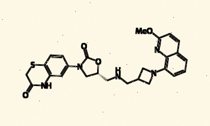 COc1ccc2cccc(N3CC(CNC[C@@H]4CN(c5ccc6c(c5)NC(=O)CS6)C(=O)O4)C3)c2n1